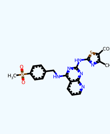 CCOC(=O)c1sc(Nc2nc(NCc3ccc(S(C)(=O)=O)cc3)c3cccnc3n2)nc1C